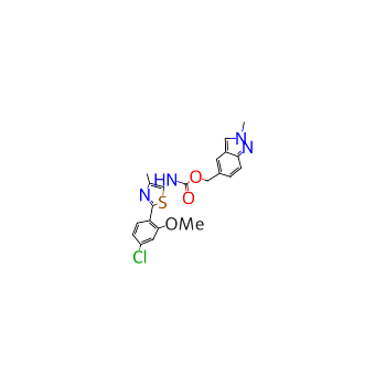 COc1cc(Cl)ccc1-c1nc(C)c(NC(=O)OCc2ccc3nn(C)cc3c2)s1